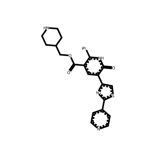 CC(C)c1[nH]c(=O)c(-c2csc(-c3ccncc3)n2)cc1C(=O)OCC1CCNCC1